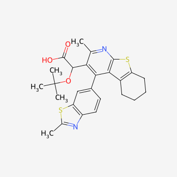 Cc1nc2ccc(-c3c(C(OC(C)(C)C)C(=O)O)c(C)nc4sc5c(c34)CCCC5)cc2s1